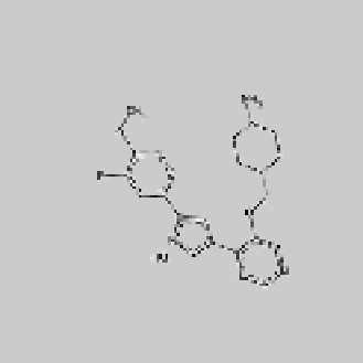 COc1ccc(-n2cc(-c3ncncc3OC[C@H]3CC[C@@H](N)CC3)cn2)cc1F.Cl